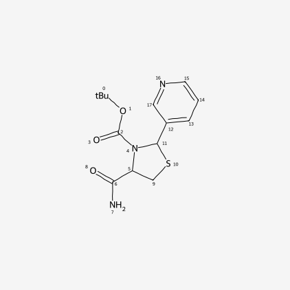 CC(C)(C)OC(=O)N1C(C(N)=O)CSC1c1cccnc1